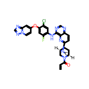 C=CC(=O)N1C[C@H]2CC[C@@H]1CN2c1ccc2ncnc(Nc3cc(Cl)c(Oc4ccn5ncnc5c4)cc3F)c2n1